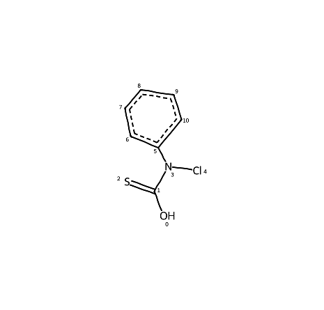 OC(=S)N(Cl)c1ccccc1